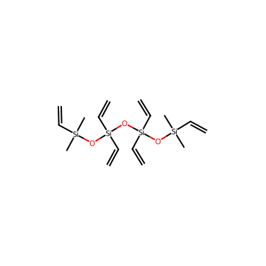 C=C[Si](C)(C)O[Si](C=C)(C=C)O[Si](C=C)(C=C)O[Si](C)(C)C=C